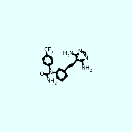 NC(=O)N(c1ccc(C(F)(F)F)cc1)c1cccc(C#Cc2c(N)ncnc2N)c1